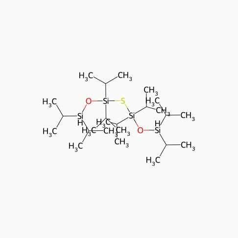 CC(C)[SiH](O[Si](S[Si](O[SiH](C(C)C)C(C)C)(C(C)C)C(C)C)(C(C)C)C(C)C)C(C)C